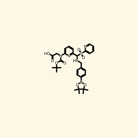 CC(C)(C)OC(=O)N(CC(=O)O)c1cccc(C(NCc2ccc(B3OC(C)(C)C(C)(C)O3)cc2)S(=O)(=O)c2ccccn2)n1